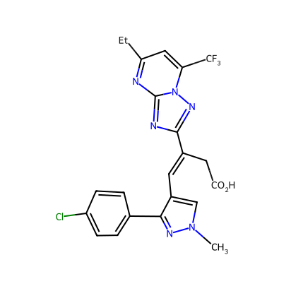 CCc1cc(C(F)(F)F)n2nc(/C(=C/c3cn(C)nc3-c3ccc(Cl)cc3)CC(=O)O)nc2n1